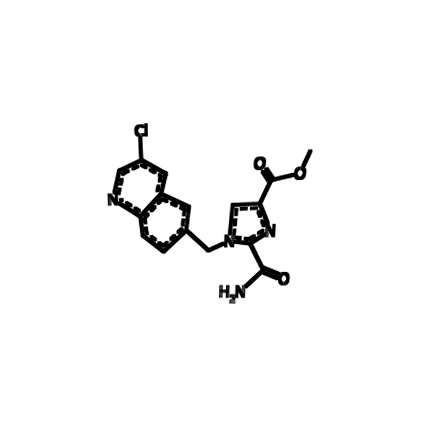 COC(=O)c1cn(Cc2ccc3ncc(Cl)cc3c2)c(C(N)=O)n1